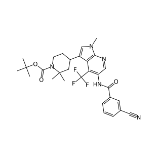 Cn1cc(C2CCN(C(=O)OC(C)(C)C)C(C)(C)C2)c2c(C(F)(F)F)c(NC(=O)c3cccc(C#N)c3)cnc21